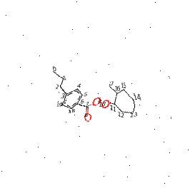 CCCc1ccc(C(=O)OO[C]2CCCCC2C)cc1